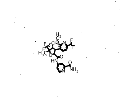 COc1nc(C(F)F)ccc1C1C(C(=O)Nc2ccnc(C(N)=O)c2)OC(C)(C(F)(F)F)C1C